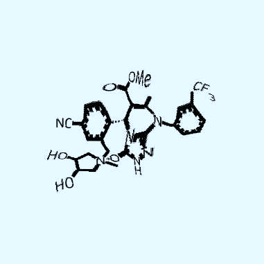 COC(=O)C1=C(C)N(c2cccc(C(F)(F)F)c2)c2n[nH]c(=O)n2[C@@H]1c1ccc(C#N)cc1C[N+]1(C)CC(O)C(O)C1